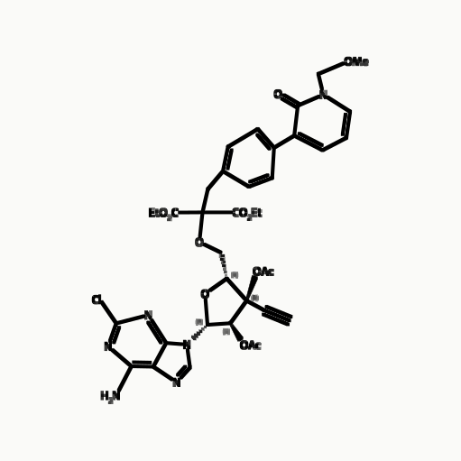 C#C[C@@]1(OC(C)=O)[C@@H](COC(Cc2ccc(-c3cccn(COC)c3=O)cc2)(C(=O)OCC)C(=O)OCC)O[C@@H](n2cnc3c(N)nc(Cl)nc32)[C@@H]1OC(C)=O